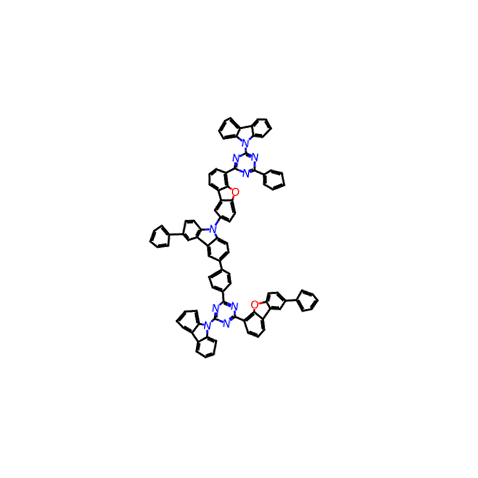 c1ccc(-c2ccc3oc4c(-c5nc(-c6ccc(-c7ccc8c(c7)c7cc(-c9ccccc9)ccc7n8-c7ccc8oc9c(-c%10nc(-c%11ccccc%11)nc(-n%11c%12ccccc%12c%12ccccc%12%11)n%10)cccc9c8c7)cc6)nc(-n6c7ccccc7c7ccccc76)n5)cccc4c3c2)cc1